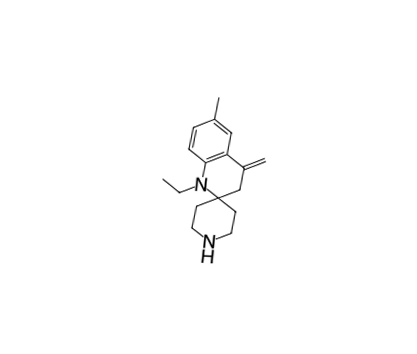 C=C1CC2(CCNCC2)N(CC)c2ccc(C)cc21